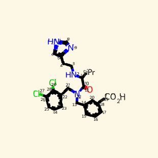 CC(C)C(NCCc1c[nH]cn1)C(=O)N(Cc1cccc(C(=O)O)c1)Cc1cccc(Cl)c1Cl